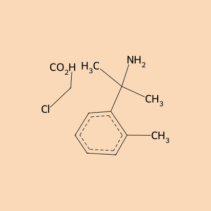 Cc1ccccc1C(C)(C)N.O=C(O)CCl